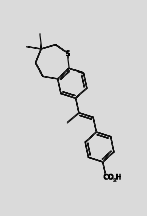 CC(=Cc1ccc(C(=O)O)cc1)c1ccc2c(c1)CCC(C)(C)CS2